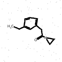 CCc1cccc(CC(=O)N2CC2)c1